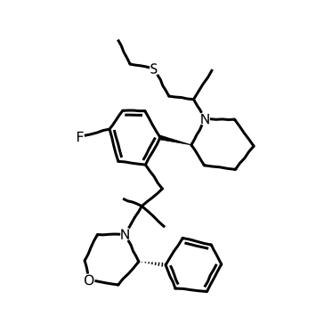 CCSCC(C)N1CCCC[C@H]1c1ccc(F)cc1CC(C)(C)N1CCOC[C@H]1c1ccccc1